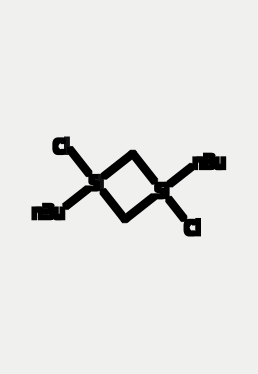 CCCC[Si]1(Cl)C[Si](Cl)(CCCC)C1